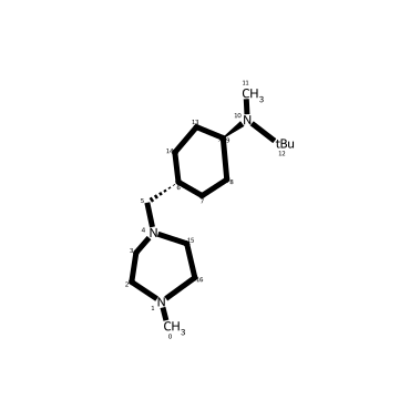 CN1CCN(C[C@H]2CC[C@H](N(C)C(C)(C)C)CC2)CC1